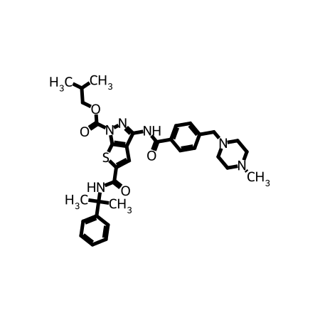 CC(C)COC(=O)n1nc(NC(=O)c2ccc(CN3CCN(C)CC3)cc2)c2cc(C(=O)NC(C)(C)c3ccccc3)sc21